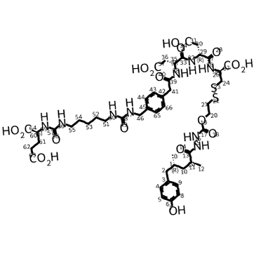 C[C@@H](Cc1ccc(O)cc1)C[C@H](C)C(=O)NNC(=O)OCCSSC[C@@H](NC(=O)[C@@H](CC(=O)O)NC(=O)[C@@H](CC(=O)O)NC(=O)Cc1ccc(CNC(=O)NCCCCCNC(=O)N[C@@H](CCC(=O)O)C(=O)O)cc1)C(=O)O